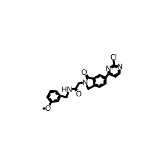 COc1cccc(CNC(=O)CN2Cc3ccc(-c4ccnc(Cl)n4)cc3C2=O)c1